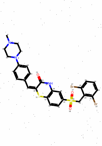 CN1CCN(c2ccc(/C=C3/Sc4ccc(S(=O)(=O)Cc5c(Br)cccc5Br)cc4NC3=O)cc2)CC1